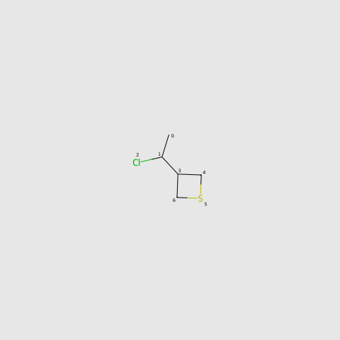 CC(Cl)C1CSC1